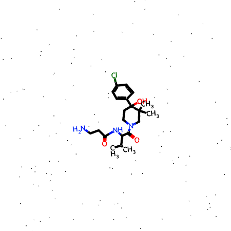 CC(C)C(NC(=O)CCN)C(=O)N1CCC(O)(c2ccc(Cl)cc2)C(C)(C)C1